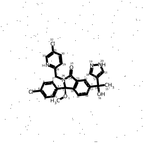 CO[C@]1(c2ccc(Cl)cc2)c2ccc(C(C)(O)c3cn[nH]c3)cc2C(=O)N1Cc1ccc(Cl)cn1